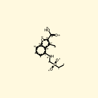 CCS(=O)(=O)CNc1cccc2oc(C(=O)O)c(C)c12